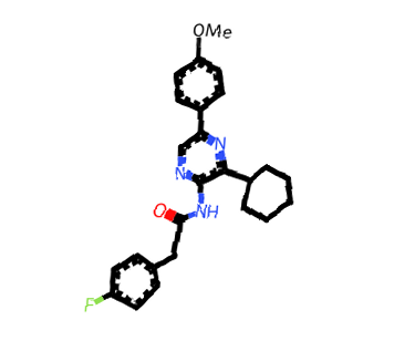 COc1ccc(-c2cnc(NC(=O)Cc3ccc(F)cc3)c(C3CCCCC3)n2)cc1